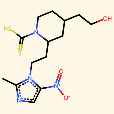 Cc1ncc([N+](=O)[O-])n1CCC1CC(CCO)CCN1C(=S)S